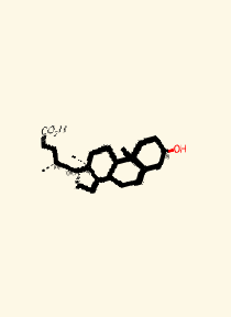 C[C@H](CCC(=O)O)[C@H]1CCC2C3CCC4C[C@H](O)CCC4(C)C3CC[C@@]21C